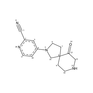 N#Cc1cc(N2CCC3(CCNCC3=O)C2)ccn1